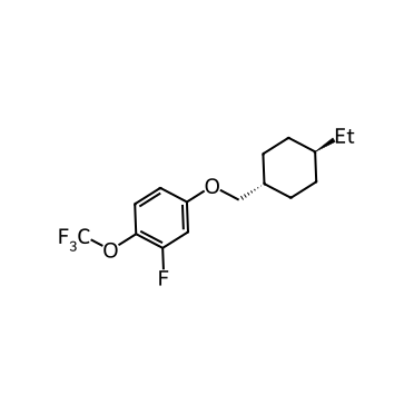 CC[C@H]1CC[C@H](COc2ccc(OC(F)(F)F)c(F)c2)CC1